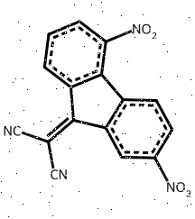 N#CC(C#N)=C1c2cc([N+](=O)[O-])ccc2-c2c1cccc2[N+](=O)[O-]